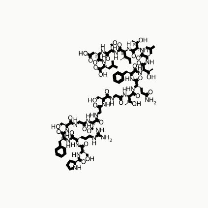 CC[C@H](C)[C@H](NC(=O)[C@@H](NC(=O)[C@H](CC(C)C)NC(=O)[C@@H](NC(=O)[C@H](Cc1ccccc1)NC(=O)[C@H](CCC(N)=O)NC(=O)[C@@H](NC(=O)CNC(=O)[C@H](CO)NC(=O)CNC(=O)[C@H](CO)NC(=O)CNC(=O)[C@H](CO)NC(=O)[C@H](Cc1ccccc1)NC(=O)[C@H](CCCNC(=N)N)NC(=O)[C@H](CO)NC(=O)[C@@H]1CCCN1)[C@@H](C)O)[C@@H](C)O)[C@@H](C)O)C(=O)N[C@@H](CO)C(=O)N[C@@H](CC(=O)O)C(=O)N[C@@H](CC(C)C)C(=O)O